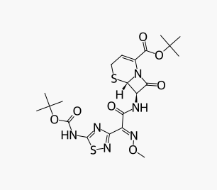 CON=C(C(=O)N[C@@H]1C(=O)N2C(C(=O)OC(C)(C)C)=CCS[C@@H]12)c1nsc(NC(=O)OC(C)(C)C)n1